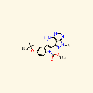 CC(C)n1nc(-c2cc3cc(O[Si](C)(C)C(C)(C)C)ccc3n2C(=O)OC(C)(C)C)c2c(N)ncnc21